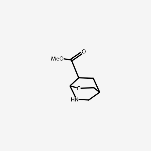 COC(=O)C1CC2CCC1NC2